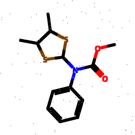 COC(=O)N(c1ccccc1)C1SC(C)C(C)S1